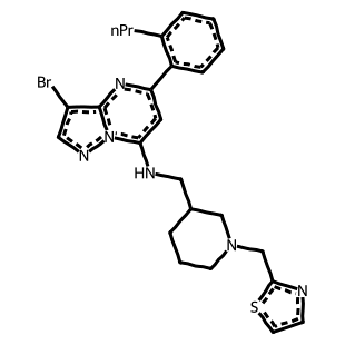 CCCc1ccccc1-c1cc(NCC2CCCN(Cc3nccs3)C2)n2ncc(Br)c2n1